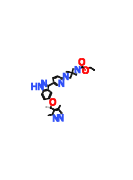 CCOC(=O)N1CC2(C1)CN(c1ccc(-c3n[nH]c4ccc(O[C@@H](C)c5c(C)cnnc5C)cc34)cn1)C2